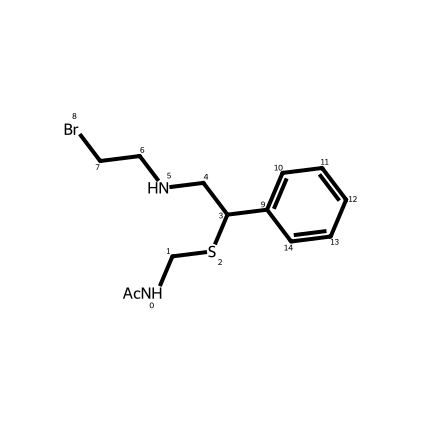 CC(=O)NCSC(CNCCBr)c1ccccc1